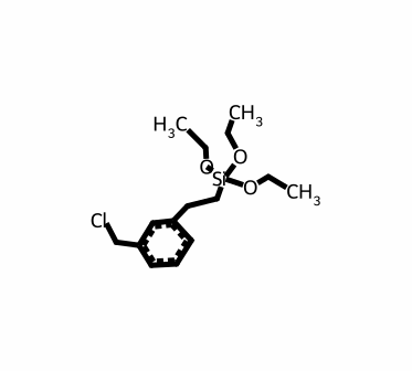 CCO[Si](CCc1cccc(CCl)c1)(OCC)OCC